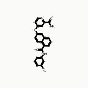 NC(=O)c1cc(Oc2ccc3c(C(=O)Nc4cccc(Cl)c4)cccc3c2)ccn1